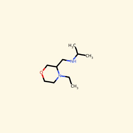 CCN1CCOCC1CNC(C)C